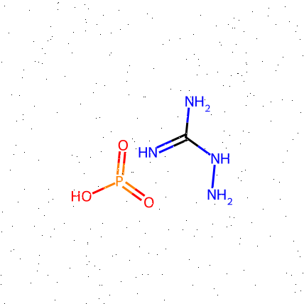 N=C(N)NN.O=P(=O)O